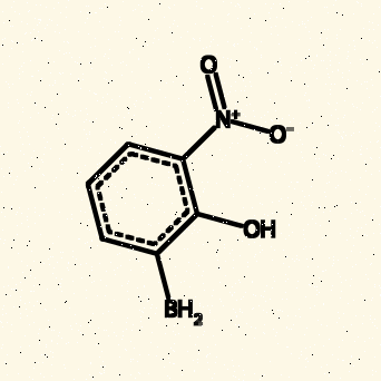 Bc1cccc([N+](=O)[O-])c1O